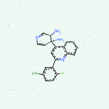 NC1C=NC=CC1(N)c1cc(-c2cc(Cl)ccc2F)nc2ccccc12